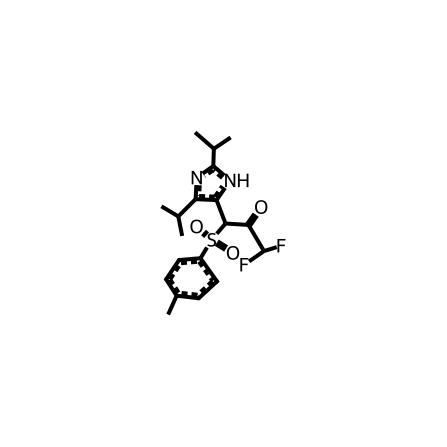 Cc1ccc(S(=O)(=O)C(C(=O)C(F)F)c2[nH]c(C(C)C)nc2C(C)C)cc1